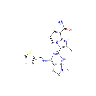 Cc1nc2c(C(N)=O)cccn2c1-c1nc(NCc2cccs2)c2c(n1)N(C)CC2